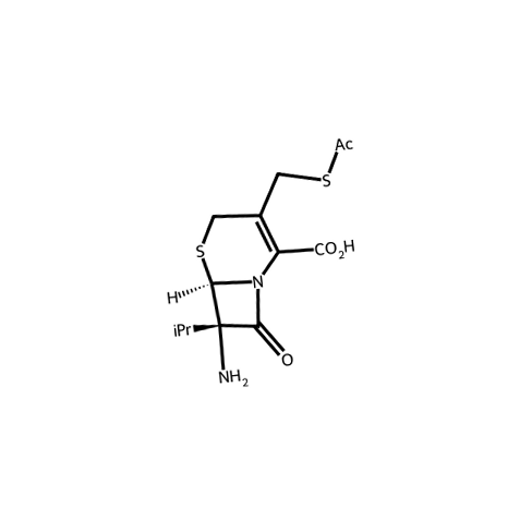 CC(=O)SCC1=C(C(=O)O)N2C(=O)[C@@](N)(C(C)C)[C@H]2SC1